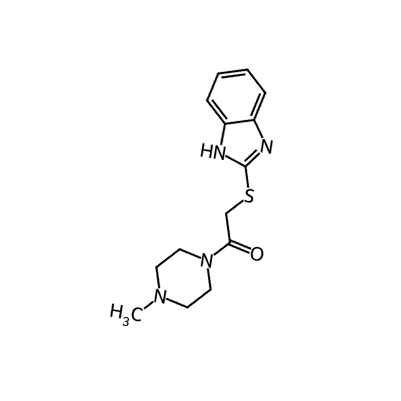 CN1CCN(C(=O)CSc2nc3ccccc3[nH]2)CC1